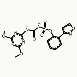 COc1nc(NC(=O)NS(=O)(=O)Oc2ccccc2-c2ccon2)nc(OC)n1